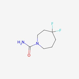 NC(=O)N1CCCC(F)(F)CC1